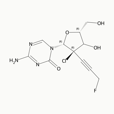 Nc1ncn([C@@H]2O[C@H](CO)C(O)[C@]2(Cl)C#CCF)c(=O)n1